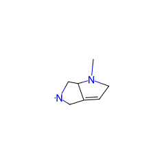 CN1CC=C2C[N]CC21